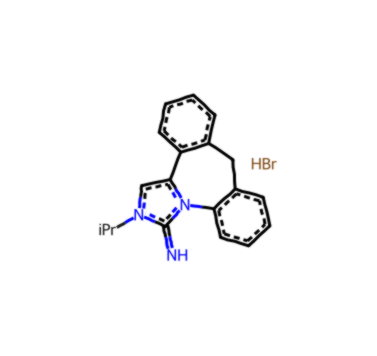 Br.CC(C)n1cc2n(c1=N)-c1ccccc1Cc1ccccc1-2